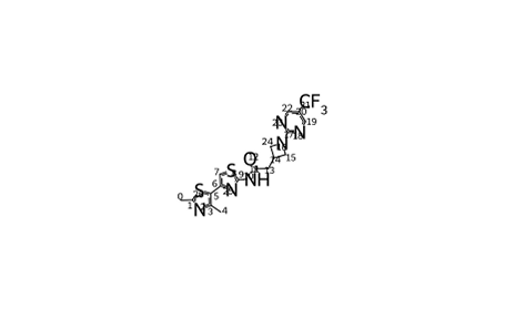 Cc1nc(C)c(-c2csc(NC(=O)CC3CN(c4ncc(C(F)(F)F)cn4)C3)n2)s1